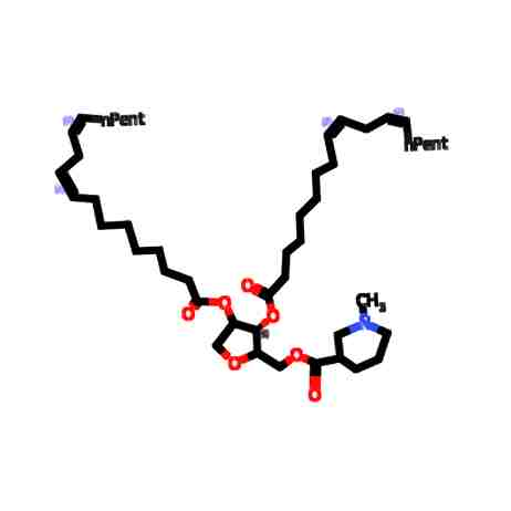 CCCCC/C=C\C/C=C\CCCCCCCC(=O)OC1COC(COC(=O)C2CCCN(C)C2)[C@@H]1OC(=O)CCCCCCC/C=C\C/C=C\CCCCC